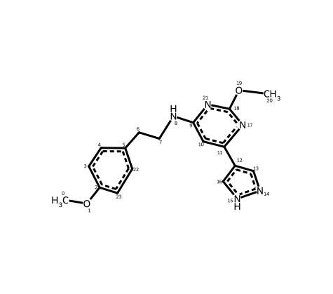 COc1ccc(CCNc2cc(-c3cn[nH]c3)nc(OC)n2)cc1